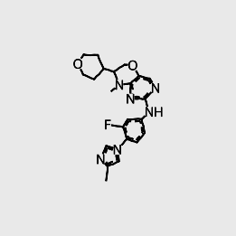 Cc1cn(-c2ccc(Nc3ncc4c(n3)N(C)C(C3CCOCC3)CO4)cc2F)cn1